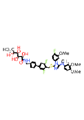 COc1cc(-n2c(N(C)c3ccc(OC)c(OC)c3)cnc2SCc2c(F)cc(-c3ccc(CNC(=O)[C@@H](O)[C@@H](O)[C@H](O)[C@@H](O)C(=O)O)cc3)cc2F)ccc1F